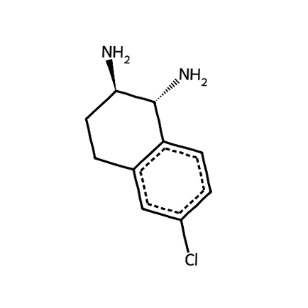 N[C@@H]1CCc2cc(Cl)ccc2[C@H]1N